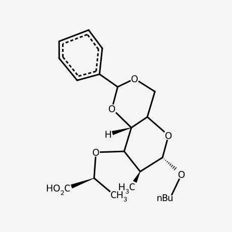 CCCCO[C@H]1OC2COC(c3ccccc3)O[C@H]2C(O[C@@H](C)C(=O)O)[C@@H]1C